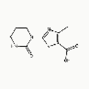 Cc1nc(N2CCCNC2=O)sc1C(=O)O